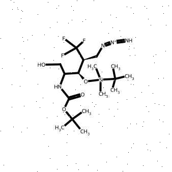 CC(C)(C)OC(=O)NC(CO)[C@H](O[Si](C)(C)C(C)(C)C)[C@H](CN=[N+]=N)C(F)(F)F